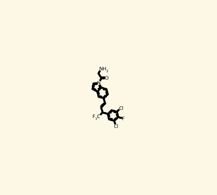 NCC(=O)n1ccc2cc(C=CC(c3cc(Cl)c(F)c(Cl)c3)C(F)(F)F)ccc21